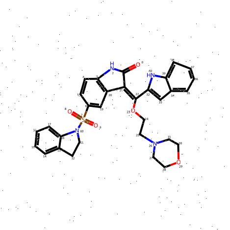 O=C1Nc2ccc(S(=O)(=O)N3CCc4ccccc43)cc2/C1=C(\OCCN1CCOCC1)c1cc2ccccc2[nH]1